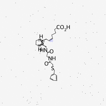 O=C(O)CCC/C=C\C[C@H]1[C@@H](CNC(=O)CNC(=O)CSCc2ccccc2)[C@H]2CC[C@@H]1S2